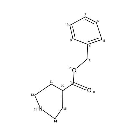 O=C(OCc1ccccc1)C1CC[N]CC1